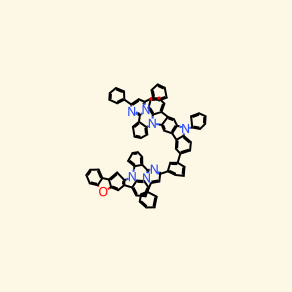 c1ccc(-c2cc(-c3cccc(-c4ccc5c(c4)c4cc6c(cc4n5-c4ccccc4)c4ccccc4n6-c4ccccc4-c4nc(-c5ccccc5)cc(-c5ccccc5)n4)c3)nc(-c3ccccc3-n3c4ccccc4c4cc5oc6ccccc6c5cc43)n2)cc1